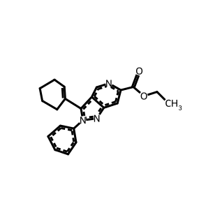 CCOC(=O)c1cc2nn(-c3ccccc3)c(C3=CCCCC3)c2cn1